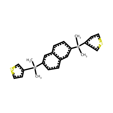 C[Si](C)(c1ccsc1)c1ccc2cc([Si](C)(C)c3ccsc3)ccc2c1